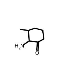 CC1CCCC(=O)C1N